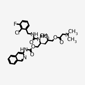 CN(C)CC(=O)OCC(O)C[C@@H](COC(=O)Nc1cc2ccccc2cn1)N(C)C(=O)NCc1cccc(F)c1Cl